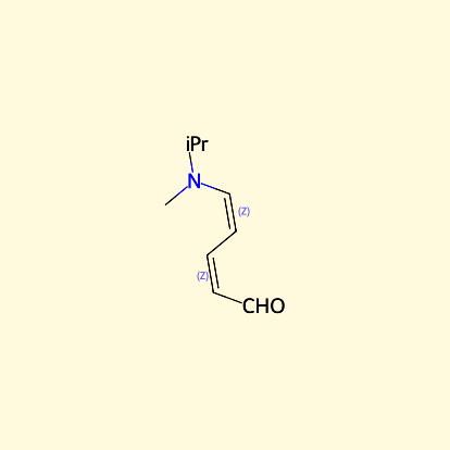 CC(C)N(C)/C=C\C=C/C=O